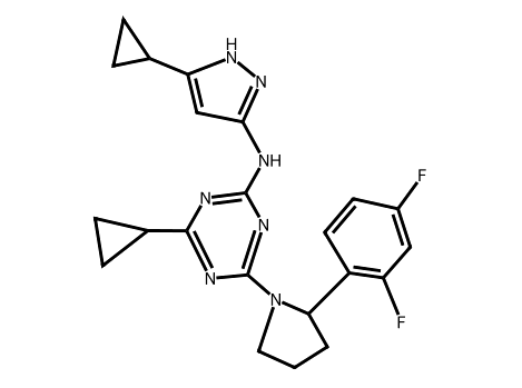 Fc1ccc(C2CCCN2c2nc(Nc3cc(C4CC4)[nH]n3)nc(C3CC3)n2)c(F)c1